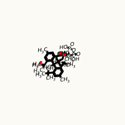 Cc1cc(C(C)(C)C)c(C(O)(c2c(C(C)(C)C)cc(C)cc2C(C)(C)C)C(CO)(CO)CO)c(C(C)(C)C)c1.O=P(O)(O)OP(=O)(O)O